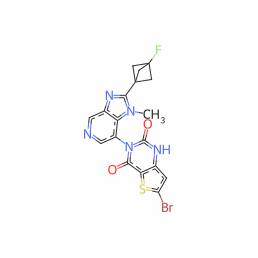 Cn1c(C23CC(F)(C2)C3)nc2cncc(-n3c(=O)[nH]c4cc(Br)sc4c3=O)c21